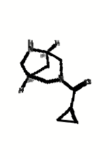 O=C(C1CC1)N1C[C@@H]2CN[C@@H](C2)C1